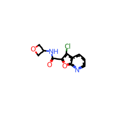 O=C(NC1COC1)c1oc2ncccc2c1Cl